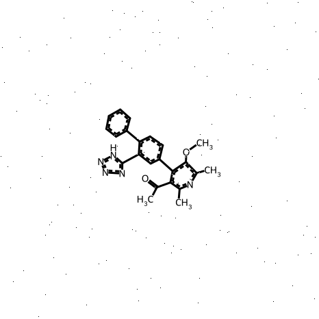 COc1c(C)nc(C)c(C(C)=O)c1-c1ccc(-c2ccccc2)c(-c2nnn[nH]2)c1